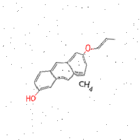 C.CC=COc1ccc2cc3cc(O)ccc3cc2c1